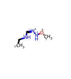 CCN/C=N\NOC